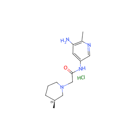 Cc1ncc(NC(=O)CN2CCC[C@H](C)C2)cc1N.Cl